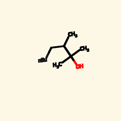 CCCCCC(C)C(C)(C)O